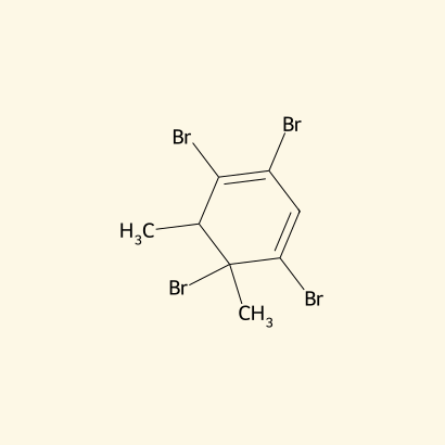 CC1C(Br)=C(Br)C=C(Br)C1(C)Br